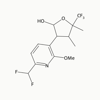 COc1nc(C(F)F)ccc1C1C(O)OC(C)(C(F)(F)F)C1C